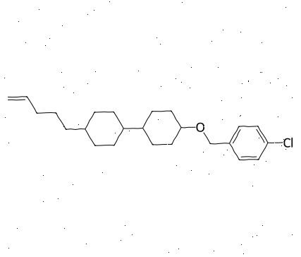 C=CCCCC1CCC(C2CCC(OCc3ccc(Cl)cc3)CC2)CC1